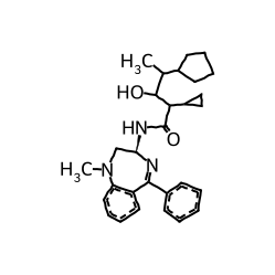 CC(C1CCCC1)C(O)C(C(=O)N[C@@H]1CN(C)c2ccccc2C(c2ccccc2)=N1)C1CC1